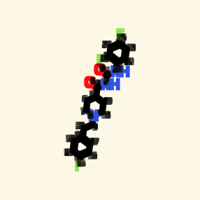 O=C(NC(=O)C1CCN(CCc2ccc(F)cc2)CC1)Nc1ccc(F)cc1F